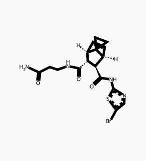 NC(=O)CCNC(=O)[C@H]1[C@H](C(=O)Nc2ncc(Br)s2)[C@@H]2C=C[C@H]1C21CC1